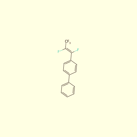 F/C(=C(/F)C(F)(F)F)c1ccc(-c2ccccc2)cc1